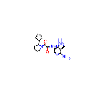 Nc1ncc(NC(=O)C(=O)N2CCCCC2C2CCCC2)c2[nH]ncc12